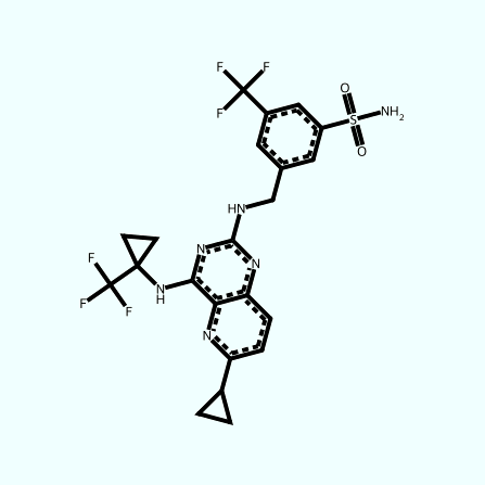 NS(=O)(=O)c1cc(CNc2nc(NC3(C(F)(F)F)CC3)c3nc(C4CC4)ccc3n2)cc(C(F)(F)F)c1